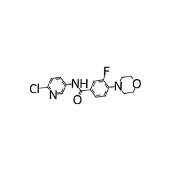 O=C(Nc1ccc(Cl)nc1)c1ccc(N2CCOCC2)c(F)c1